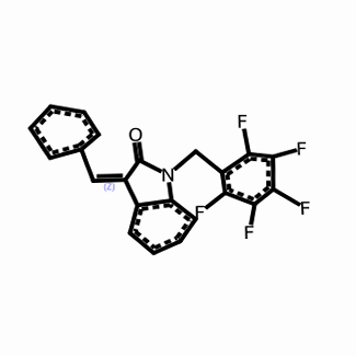 O=C1/C(=C\c2ccccc2)c2ccccc2N1Cc1c(F)c(F)c(F)c(F)c1F